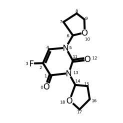 O=c1c(F)cn(C2CCCO2)c(=O)n1C1CCCO1